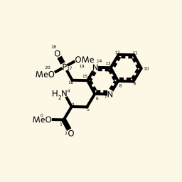 COC(=O)C(N)Cc1nc2ccccc2nc1CP(=O)(OC)OC